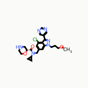 COCCCn1nc(-c2cncnc2)c2c(Cl)cc(CN(C(=O)[C@H]3CNCCO3)C3CC3)cc21